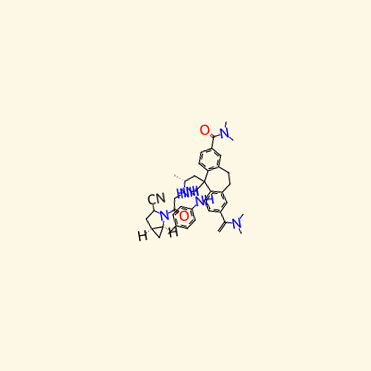 C=C(c1ccc2c(c1)CCc1cc(C(=O)N(C)C)ccc1C2(C[C@@H](C)NCC(=O)N1C(C#N)C[C@@H]2C[C@@H]21)C(=N)Nc1ccc(C)cc1)N(C)C